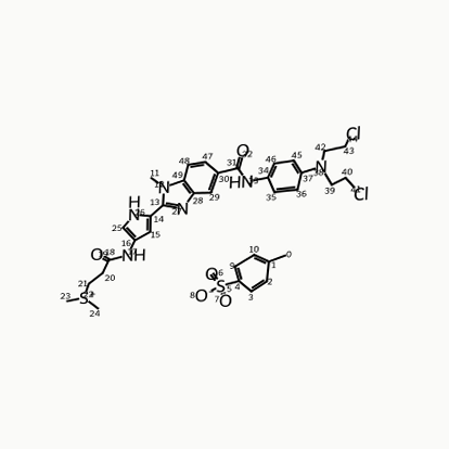 Cc1ccc(S(=O)(=O)[O-])cc1.Cn1c(-c2cc(NC(=O)CC[S+](C)C)c[nH]2)nc2cc(C(=O)Nc3ccc(N(CCCl)CCCl)cc3)ccc21